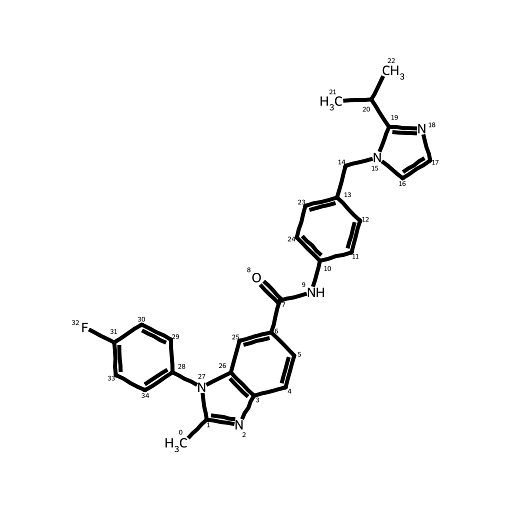 Cc1nc2ccc(C(=O)Nc3ccc(Cn4ccnc4C(C)C)cc3)cc2n1-c1ccc(F)cc1